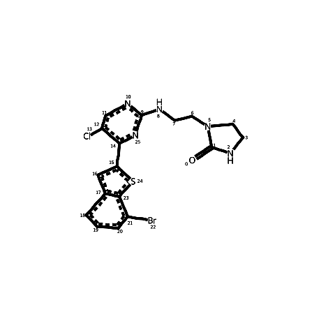 O=C1NCCN1CCNc1ncc(Cl)c(-c2cc3cccc(Br)c3s2)n1